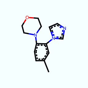 Cc1ccc(N2CCOCC2)c(-n2ccnc2)c1